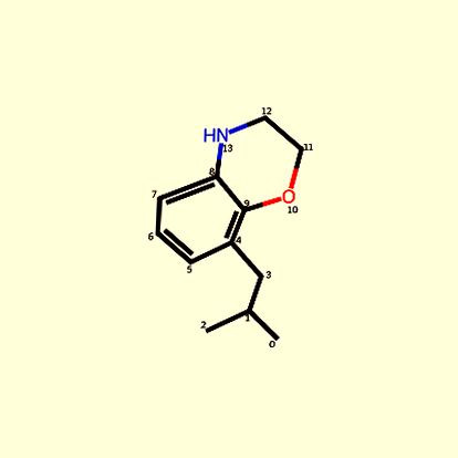 CC(C)Cc1cccc2c1OCCN2